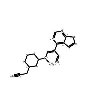 C=C/C(=C\N(C)C1CCCC(CC#N)C1)c1ncnc2[nH]ccc12